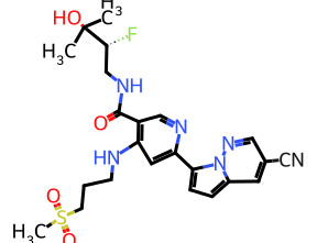 CC(C)(O)[C@H](F)CNC(=O)c1cnc(-c2ccc3cc(C#N)cnn23)cc1NCCCS(C)(=O)=O